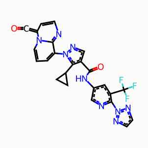 O=C=C1C=CN=C2C(n3ncc(C(=O)Nc4cnc(-n5nccn5)c(C(F)(F)F)c4)c3C3CC3)=CC=CN12